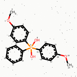 COc1ccc(P(O)(O)(c2ccccc2)c2ccc(OC)cc2)cc1